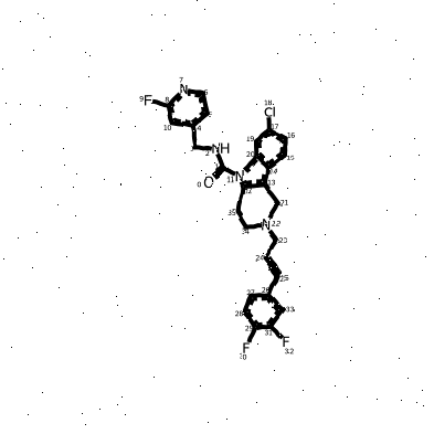 O=C(NCc1ccnc(F)c1)n1c2c(c3ccc(Cl)cc31)CN(CC=Cc1ccc(F)c(F)c1)CC2